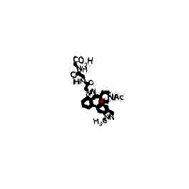 CC(=O)N1CCC(c2nn(CC(=O)NCC(=O)NCC(=O)O)c3cccc(-c4cc5c(cnn5C)cc4Cl)c23)CC1